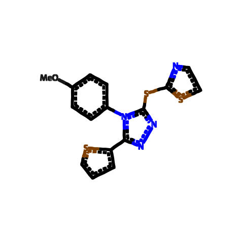 COc1ccc(-n2c(Sc3nccs3)nnc2-c2cccs2)cc1